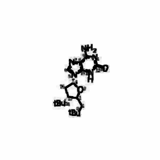 CC(C)(C)CC1O[C@@H](n2cnc3c(N)nc(=O)[nH]c32)C[C@H]1C(C)(C)C